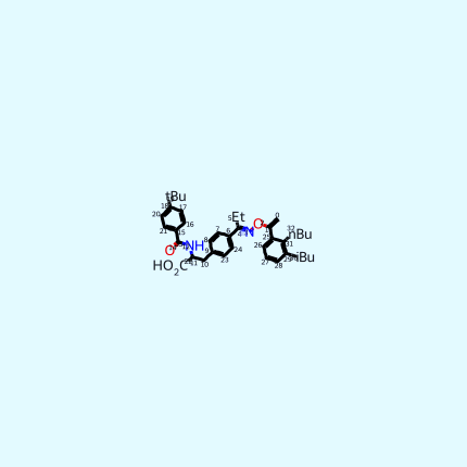 C=C(O/N=C(\CC)c1ccc(CC(NC(=O)c2ccc(C(C)(C)C)cc2)C(=O)O)cc1)c1cccc(C(C)CC)c1CCCC